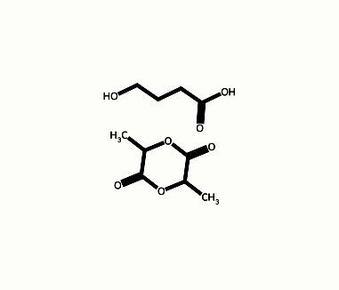 CC1OC(=O)C(C)OC1=O.O=C(O)CCCO